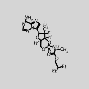 CCC(CC)COC(=O)[C@H](C)NP1(=O)OC[C@H]2O[C@@H](c3cnc4c(N)ncnn34)[C@](C)(F)[C@@H]2O1